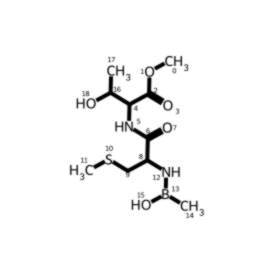 COC(=O)C(NC(=O)C(CSC)NB(C)O)C(C)O